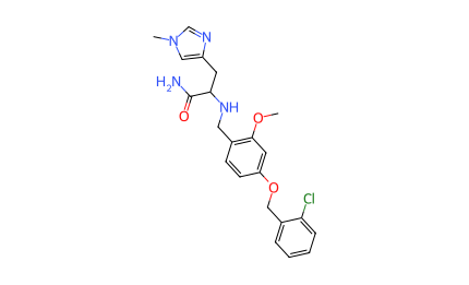 COc1cc(OCc2ccccc2Cl)ccc1CNC(Cc1cn(C)cn1)C(N)=O